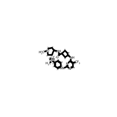 CN1CCC(NC(=O)C2CCC(Nc3nc(Nc4ccc(P(C)(C)=O)cc4)ncc3C(F)(F)F)C2)CC1